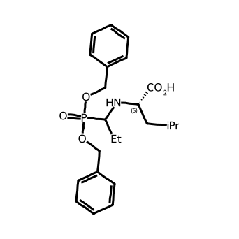 CCC(N[C@@H](CC(C)C)C(=O)O)P(=O)(OCc1ccccc1)OCc1ccccc1